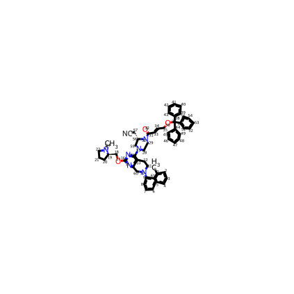 Cc1cccc2cccc(N3CCc4c(nc(OC[C@H]5CCCN5C)nc4N4CCN(C(=O)/C=C/COC(c5ccccc5)(c5ccccc5)c5ccccc5)[C@@H](CC#N)C4)C3)c12